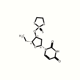 CC[C@H]1O[C@@H](n2ccc(=O)[nH]c2=O)C[C@@H]1OP1(=S)SCCS1